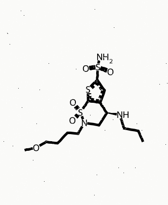 CCCN[C@H]1CN(CCCCOC)S(=O)(=O)c2sc(S(N)(=O)=O)cc21